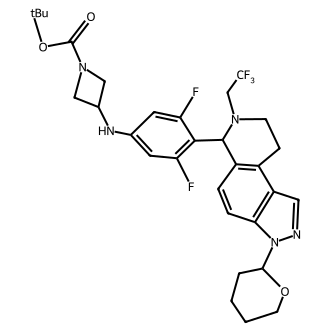 CC(C)(C)OC(=O)N1CC(Nc2cc(F)c(C3c4ccc5c(cnn5C5CCCCO5)c4CCN3CC(F)(F)F)c(F)c2)C1